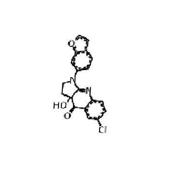 O=C1c2cc(Cl)ccc2N=C2N(c3ccc4ccoc4c3)CCC12O